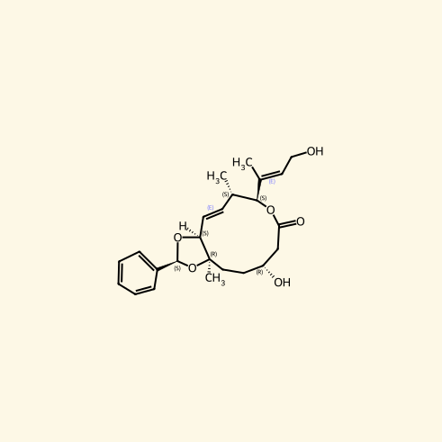 C/C(=C\CO)[C@H]1OC(=O)C[C@H](O)CC[C@@]2(C)O[C@@H](c3ccccc3)O[C@H]2/C=C/[C@@H]1C